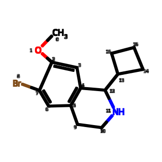 COc1cc2c(cc1Br)CCNC2C1CCC1